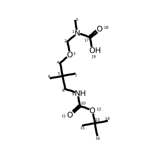 CN(COCC(C)(C)CNC(=O)OC(C)(C)C)C(=O)O